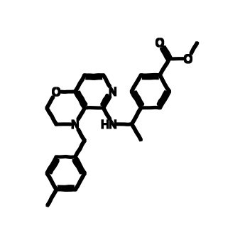 COC(=O)c1ccc(C(C)Nc2nccc3c2N(Cc2ccc(C)cc2)CCO3)cc1